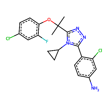 CC(C)(Oc1ccc(Cl)cc1F)c1nnc(-c2ccc(N)cc2Cl)n1C1CC1